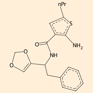 CCCc1cc(C(=O)NC(Cc2ccccc2)C2=COCO2)c(N)s1